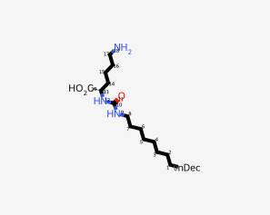 CCCCCCCCCCCCCCCCCCNC(=O)N[C@@H](CCCCN)C(=O)O